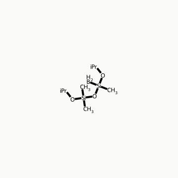 B[Si](C)(OC(C)C)O[Si](C)(C)OC(C)C